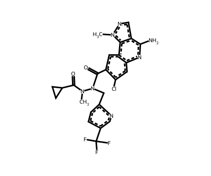 CN(C(=O)C1CC1)N(Cc1ccc(C(F)(F)F)cn1)C(=O)c1cc2c(cc1Cl)nc(N)c1cnn(C)c12